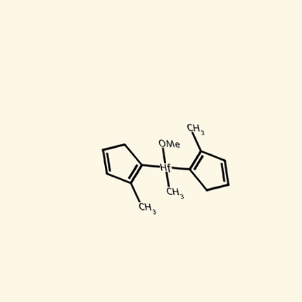 C[O][Hf]([CH3])([C]1=C(C)C=CC1)[C]1=C(C)C=CC1